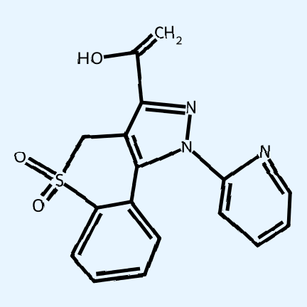 C=C(O)c1nn(-c2ccccn2)c2c1CS(=O)(=O)c1ccccc1-2